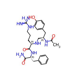 CC(=O)N[C@@H](CN[C@H](CCCNC(=N)N)C(=O)N[C@H](Cc1ccccc1)C(N)=O)Cc1ccc(O)cc1